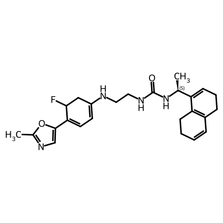 Cc1ncc(C2=CC=C(NCCNC(=O)N[C@@H](C)C3=CCCC4=C3CCC=C4)CC2F)o1